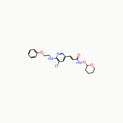 O=C(C=Cc1cnc(NCCOc2ccccc2)c(Cl)c1)NOC1CCCCO1